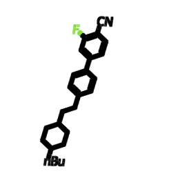 CCCCC1CCC(CCc2ccc(-c3ccc(C#N)c(F)c3)cc2)CC1